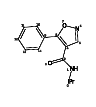 CC(C)NC(=O)c1cnoc1-c1ccccc1